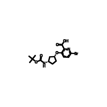 CC(C)(C)OC(=O)N[C@H]1CC[C@@H](Oc2ccc(Br)nc2C(=O)O)C1